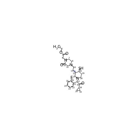 CCOC(=O)CN1CCN(C/C=C2/CN(C(C(=O)C3CC3)c3ccccc3F)CCC2S)CC1=O